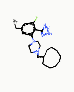 CC(C)Cc1cc(F)c(-c2nn[nH]n2)c(N2CCN(CC3CCCCCCCC3)CC2)c1